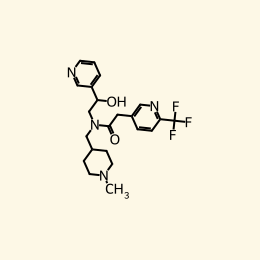 CN1CCC(CN(CC(O)c2cccnc2)C(=O)Cc2ccc(C(F)(F)F)nc2)CC1